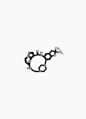 CC1(C)Cc2cc3c(cc2O1)N1CCN(CCNc2ccn4ncc(c4n2)C(=O)N3)CC1